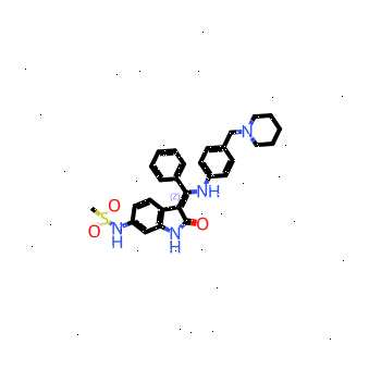 CS(=O)(=O)Nc1ccc2c(c1)NC(=O)/C2=C(\Nc1ccc(CN2CCCCC2)cc1)c1ccccc1